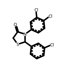 O=C1CSC(c2cccc(Cl)c2)N1c1ccc(Cl)c(Cl)c1